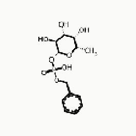 C[C@@H]1O[C@H](OP(=O)(O)OCc2ccccc2)[C@@H](O)[C@H](O)[C@@H]1O